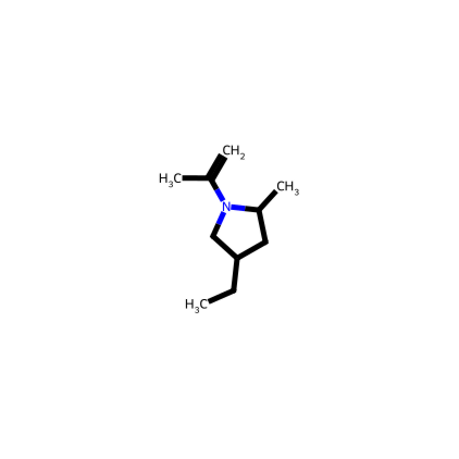 C=C(C)N1CC(CC)CC1C